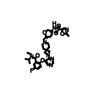 CCN(C(=O)c1cc(F)ccc1Oc1cncnc1N1CC2(CCN(C[C@@H]3CC[C@@H](NS(=O)(=O)c4cnc(C)o4)CO3)CC2)C1)C(C)C